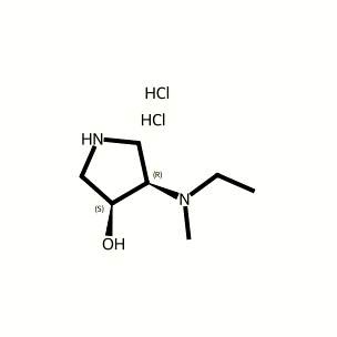 CCN(C)[C@@H]1CNC[C@@H]1O.Cl.Cl